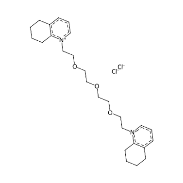 [Cl-].[Cl-].c1cc2c([n+](CCOCCOCCOCC[n+]3cccc4c3CCCC4)c1)CCCC2